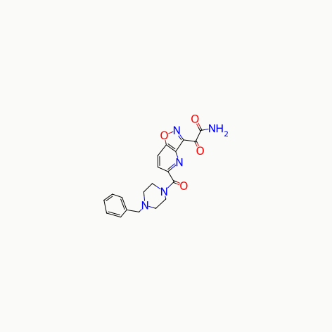 NC(=O)C(=O)c1noc2ccc(C(=O)N3CCN(Cc4ccccc4)CC3)nc12